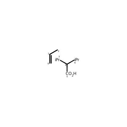 C=CC.CC(C)C(C(=O)O)C(C)C